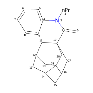 C=C(N(CCC)c1ccccc1)C12CC3CC4CC(C1)C4(C3)C2